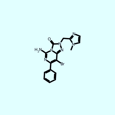 Cn1ccnc1Cn1nc2c(Br)c(-c3ccccc3)nc(N)n2c1=O